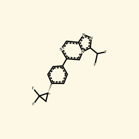 FC(F)c1nnc2cnc(-c3ccc([C@@H]4CC4(F)F)cc3)cn12